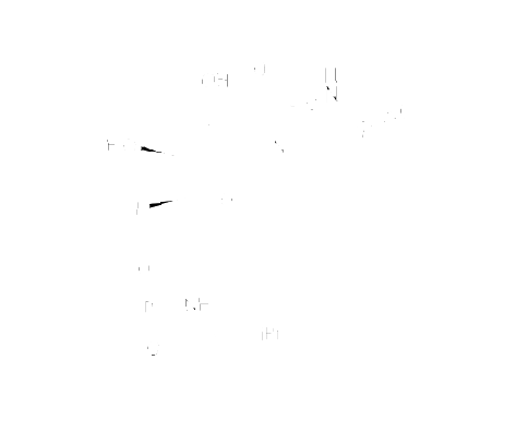 CC(C)[C@H](C)NP(C)(=O)OC[C@@]1(F)O[C@@H](n2ccc(=O)[nH]c2=O)C(O)[C@@H]1O